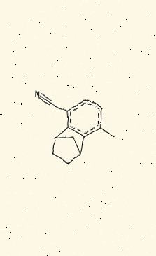 Cc1ccc(C#N)c2c1C1CCC2C1